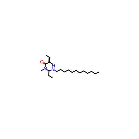 CC=C(C)C(=O)N(C)C(CC)NCCCCCCCCCCCC